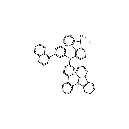 CC1(C)c2ccccc2-c2c(N(c3ccc(-c4ccccc4N4C5=C(C=CCC5)C5C=CC=CC54)cc3)c3cccc(-c4cccc5ccccc45)c3)cccc21